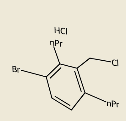 CCCc1ccc(Br)c(CCC)c1CCl.Cl